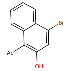 CC(=O)c1c(O)cc(Br)c2ccccc12